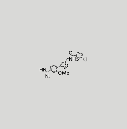 COc1cc(C(=N)N(C)C)ccc1-c1cc(CNC(=O)c2ccc(Cl)s2)on1